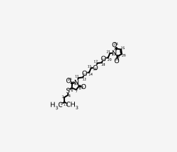 CC(C)CCSC1CC(=O)N(CCOCCOCCOCCN2C(=O)C=CC2=O)C1=O